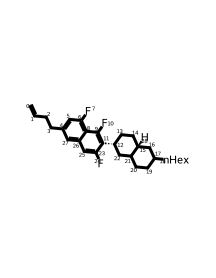 C=CCCc1cc(F)c2c(F)c([C@@H]3CC[C@@H]4CC(CCCCCC)CCC4C3)c(F)cc2c1